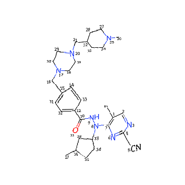 Cc1cnc(C#N)nc1N(NC(=O)c1ccc(CN2CCN(CC3CCN(C)CC3)CC2)cc1)C1CCC(C)C1